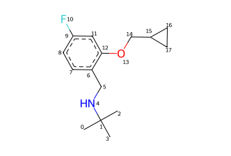 CC(C)(C)NCc1ccc(F)cc1OCC1CC1